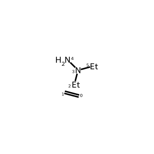 C=C.CCN(N)CC